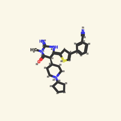 CN1C(=N)N/C(=C2\CC(c3cccc(C#N)c3)=CS2)[C@@H](C2CCN(C3CCCC3)CC2)C1=O